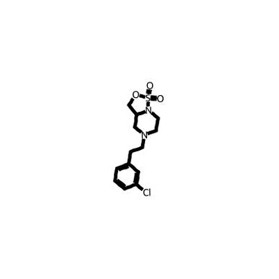 O=S1(=O)OCC2CN(CCc3cccc(Cl)c3)CCN21